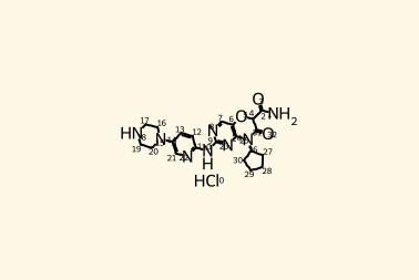 Cl.NC(=O)C1Oc2cnc(Nc3ccc(N4CCNCC4)cn3)nc2N(C2CCCC2)C1=O